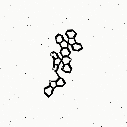 c1ccc2c(c1)Sc1cc3c(cc1C21c2cccnc2-c2ncc(-c4cccc5c4sc4ccccc45)cc21)-c1ccccc1C31c2ccccc2-c2ccccc21